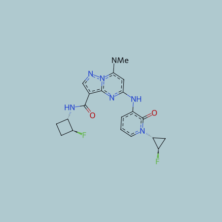 CNc1cc(Nc2cccn([C@@H]3C[C@H]3F)c2=O)nc2c(C(=O)N[C@H]3CC[C@@H]3F)cnn12